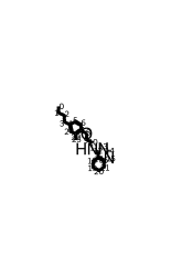 CCCCc1ccc(OCCNc2ncnc3c2CCCC3)c(C)c1